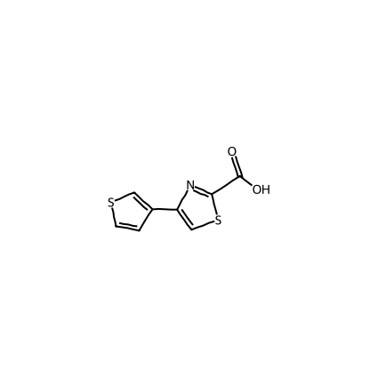 O=C(O)c1nc(-c2ccsc2)cs1